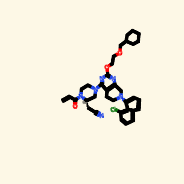 C=CC(=O)N1CCN(c2nc(OCCOCC3CCCCC3)nc3c2CCN(c2cccc4cccc(Cl)c24)C3)C[C@@H]1CC#N